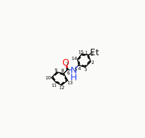 CCc1ccc(NC(=O)c2ccccc2)cc1